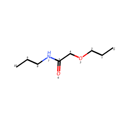 [CH2]CCOCC(=O)NCCC